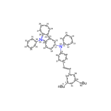 CCCCc1cc(/C=C/c2ccc(N(c3ccccc3)c3ccc4c(c3)c3ccccc3n4-c3ccccc3)cc2)cc(CCCC)c1